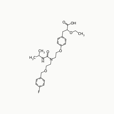 CCOC(Cc1ccc(OCCN(CCOCc2ccc(F)cc2)C(=O)NC(C)C)cc1)C(=O)O